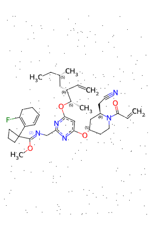 C=CC(=O)N1CC[C@H](Oc2cc(O[C@@H](C)[C@@H](C=C)C[C@@H](C)CC)nc(C/N=C(\OC)C3(C4=C(F)CCC=C4)CCC3)n2)C[C@H]1CC#N